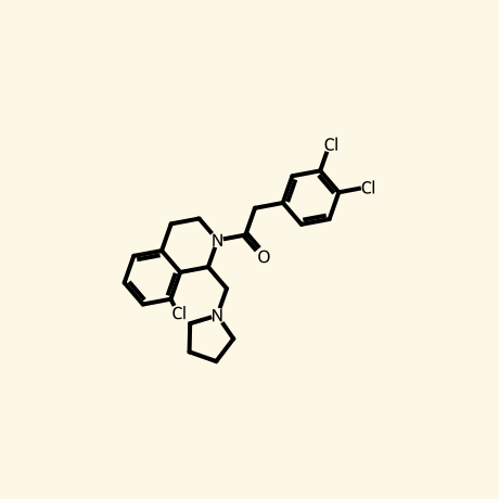 O=C(Cc1ccc(Cl)c(Cl)c1)N1CCc2cccc(Cl)c2C1CN1CCCC1